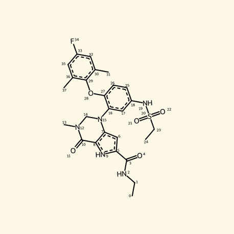 CCNC(=O)c1cc2c([nH]1)C(=O)N(C)CN2c1cc(NS(=O)(=O)CC)ccc1Oc1c(C)cc(F)cc1C